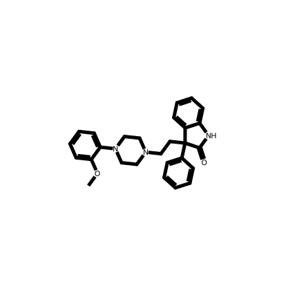 COc1ccccc1N1CCN(CCC2(c3ccccc3)C(=O)Nc3ccccc32)CC1